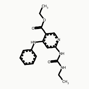 CCNC(=O)Nc1cc(Nc2ccccc2)c(C(=O)OCC)cn1